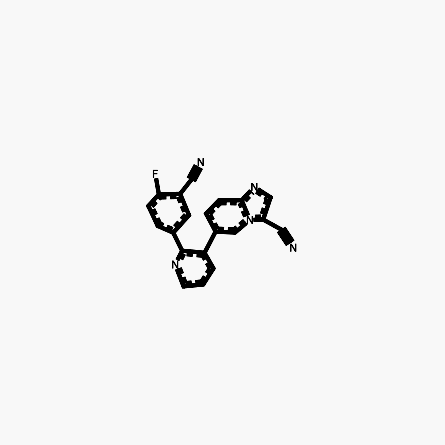 N#Cc1cc(-c2ncccc2-c2ccc3ncc(C#N)n3c2)ccc1F